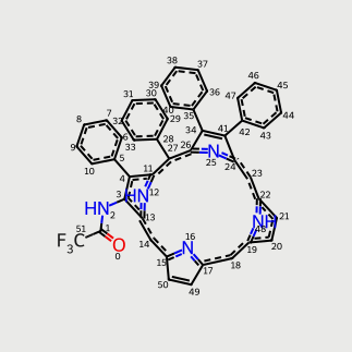 O=C(Nc1c(-c2ccccc2)c2[nH]c1cc1nc(cc3ccc(cc4nc(c2-c2ccccc2)C(c2ccccc2)=C4c2ccccc2)[nH]3)C=C1)C(F)(F)F